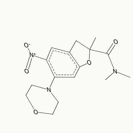 CN(C)C(=O)C1(C)Cc2cc([N+](=O)[O-])c(N3CCOCC3)cc2O1